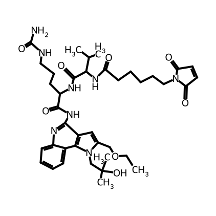 CCOCc1cc2c(NC(=O)C(CCCNC(N)=O)NC(=O)C(NC(=O)CCCCCN3C(=O)C=CC3=O)C(C)C)nc3ccccc3c2n1CC(C)(C)O